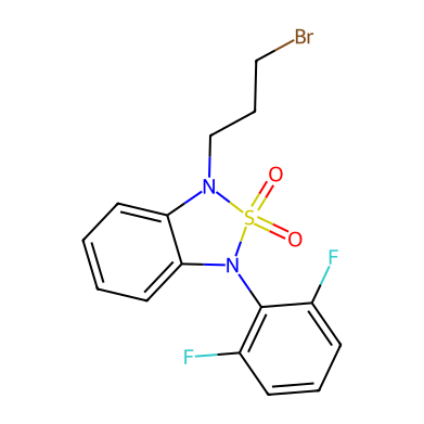 O=S1(=O)N(CCCBr)c2ccccc2N1c1c(F)cccc1F